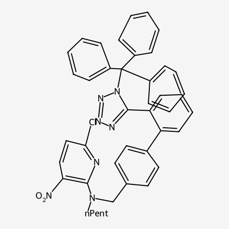 CCCCCN(Cc1ccc(-c2ccccc2-c2nnnn2C(c2ccccc2)(c2ccccc2)c2ccccc2)cc1)c1nc(Cl)ccc1[N+](=O)[O-]